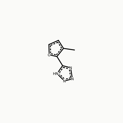 Cc1ccoc1-c1nnn[nH]1